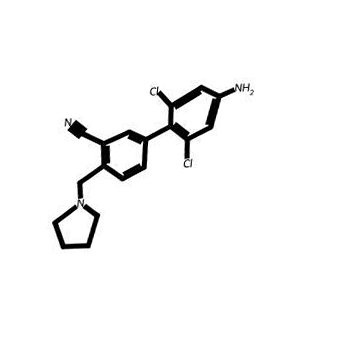 N#Cc1cc(-c2c(Cl)cc(N)cc2Cl)ccc1CN1CCCC1